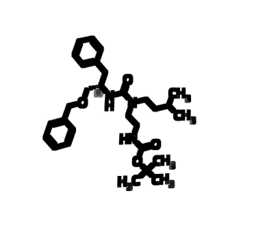 CC(C)CCN(CCNC(=O)OC(C)(C)C)C(=O)N[C@H](COCc1ccccc1)Cc1ccccc1